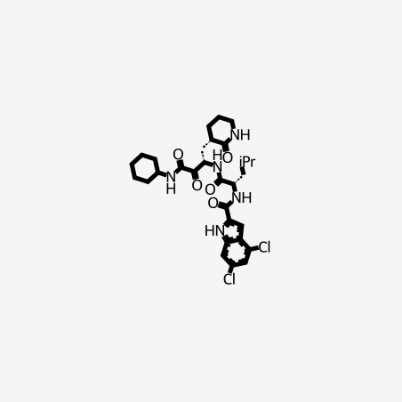 CC(C)C[C@H](NC(=O)c1cc2c(Cl)cc(Cl)cc2[nH]1)C(=O)N[C@@H](C[C@@H]1CCCNC1=O)C(=O)C(=O)NC1CCCCC1